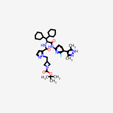 Cc1n[nH]c(C)c1-c1ccc(NC(=O)[C@@H](NC(=O)c2ccnn2CC2CN(C(=O)OC(C)(C)C)C2)C(C2CCCCC2)C2CCCCC2)nc1F